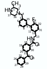 C[C@H]1CN(Cc2cccc(-c3cc(CNC(=O)c4cccc(C(=O)c5ccccc5)c4)ccc3F)c2)CCN1